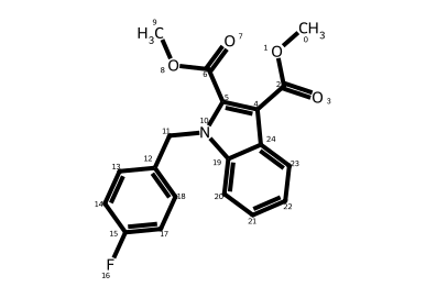 COC(=O)c1c(C(=O)OC)n(Cc2ccc(F)cc2)c2ccccc12